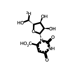 [2H]C(O)[C@H]1O[C@@H](n2c(C(=O)O)cc(=O)[nH]c2=O)[C@H](O)[C@@H]1O